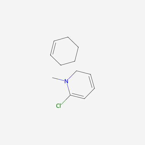 C1=CCCCC1.CN1CC=CC=C1Cl